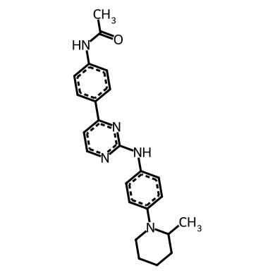 CC(=O)Nc1ccc(-c2ccnc(Nc3ccc(N4CCCCC4C)cc3)n2)cc1